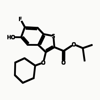 CC(C)OC(=O)c1sc2cc(F)c(O)cc2c1OC1CCCCC1